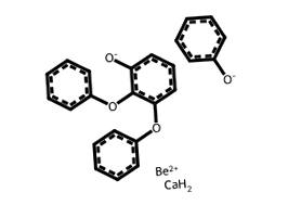 [Be+2].[CaH2].[O-]c1cccc(Oc2ccccc2)c1Oc1ccccc1.[O-]c1ccccc1